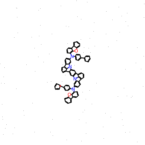 c1ccc(-c2ccc(N(c3ccc4c5cccc6c7cc8c(cc7n(c4c3)c56)c3cccc4c5ccc(N(c6ccc(-c7ccccc7)cc6)c6cccc7c6oc6ccccc67)cc5n8c43)c3cccc4c3oc3ccccc34)cc2)cc1